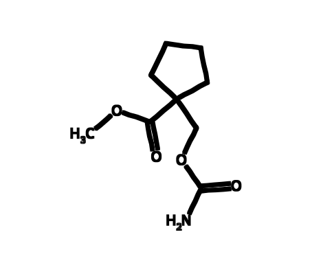 COC(=O)C1(COC(N)=O)CCCC1